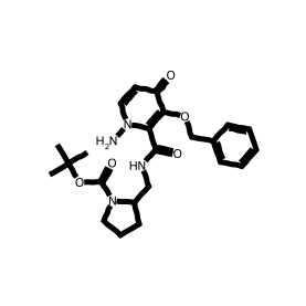 CC(C)(C)OC(=O)N1CCCC1CNC(=O)c1c(OCc2ccccc2)c(=O)ccn1N